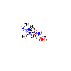 Cc1cc(NC(=O)c2c(C)c(C(=O)C(=O)NC3CCC(O)(C(F)(F)F)CC3)n(C)c2C)cnc1F